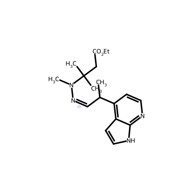 CCOC(=O)CC(C)(C)N(C)/N=C\C(C)c1ccnc2[nH]ccc12